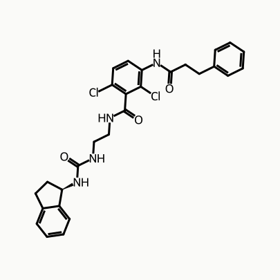 O=C(CCc1ccccc1)Nc1ccc(Cl)c(C(=O)NCCNC(=O)N[C@@H]2CCc3ccccc32)c1Cl